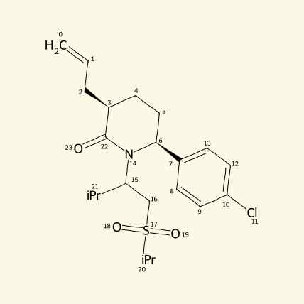 C=CC[C@H]1CC[C@@H](c2ccc(Cl)cc2)N(C(CS(=O)(=O)C(C)C)C(C)C)C1=O